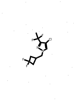 CC(F)(F)c1nn(CC2CC(F)(F)C2)cc1Cl